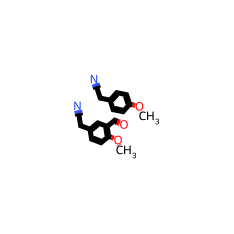 COc1ccc(CC#N)cc1.COc1ccc(CC#N)cc1C=O